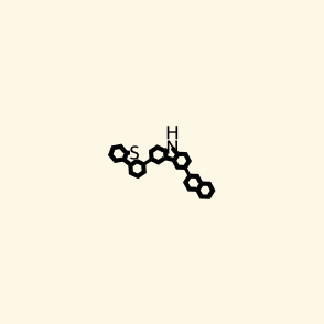 c1ccc2cc(-c3ccc4[nH]c5ccc(-c6cccc7c6sc6ccccc67)cc5c4c3)ccc2c1